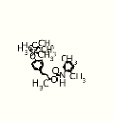 Cc1ccc(C)c(NC(=O)OC(C)CCc2ccc(O[Si](C)(C)C(C)(C)C)cc2)c1